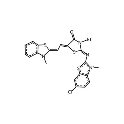 CCN1C(=O)/C(=C/C=C2\Sc3ccccc3N2C)S/C1=N\c1sc2cc(Cl)ccc2[n+]1C